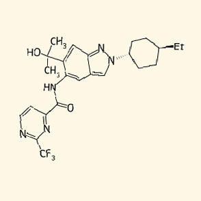 CC[C@H]1CC[C@H](n2cc3cc(NC(=O)c4ccnc(C(F)(F)F)n4)c(C(C)(C)O)cc3n2)CC1